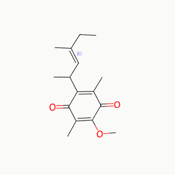 CC/C(C)=C/C(C)C1=C(C)C(=O)C(OC)=C(C)C1=O